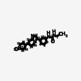 CCNC(=O)Nc1cccc(-c2cnc3cc(-c4cc[n+]([O-])cc4)ccn23)c1